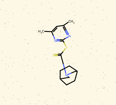 Cc1cc(C)nc(SC(=S)N2CC3CCC(CC3)C2)n1